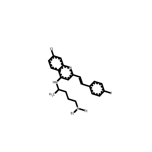 CCN(CC)CCCC(C)Nc1cc(/C=C/c2ccc(F)cc2)nc2cc(Cl)ccc12